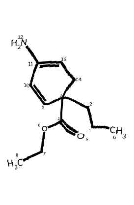 CCCC1(C(=O)OCC)C=CC(N)=CC1